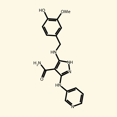 COc1cc(CNc2[nH]nc(Nc3cccnc3)c2C(N)=O)ccc1O